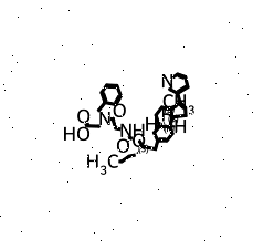 CCCC[C@@H](CC1=CC[C@@H]2[C@H](CC[C@]3(C)C(c4cccnc4)=CC[C@@H]23)C1)OC(=O)NCC(=O)N(CC(=O)O)Cc1ccccc1